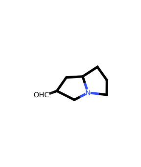 O=CC1CC2CCCN2C1